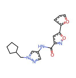 O=C(Nc1cnn(CC2CCCC2)c1)c1cc(-c2ccco2)on1